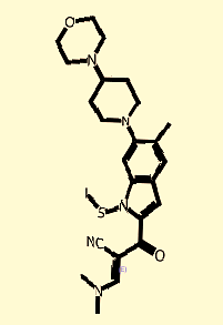 Cc1cc2cc(C(=O)/C(C#N)=C/N(C)C)n(SI)c2cc1N1CCC(N2CCOCC2)CC1